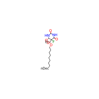 CCCCCCCCCCCCCCCCCCOC(=O)C1(F)C(=O)NC(=O)NC1OCC